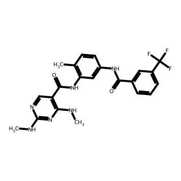 CNc1ncc(C(=O)Nc2cc(NC(=O)c3cccc(C(F)(F)F)c3)ccc2C)c(NC)n1